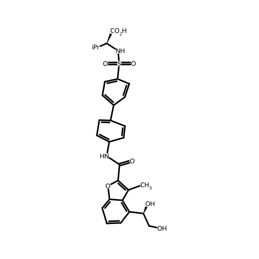 Cc1c(C(=O)Nc2ccc(-c3ccc(S(=O)(=O)N[C@H](C(=O)O)C(C)C)cc3)cc2)oc2cccc([C@@H](O)CO)c12